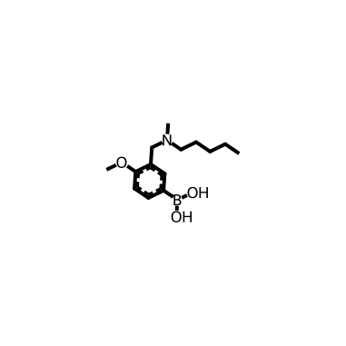 CCCCCN(C)Cc1cc(B(O)O)ccc1OC